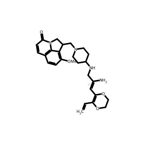 C=CC1=C(/C=C(\N)CNC2CCN(CC3Cn4c(=O)ccc5ccc(OC)c3c54)CC2)OCCO1